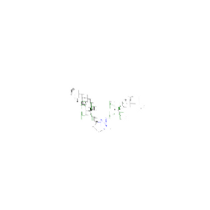 C.C.C.C.C.CC.CC.Cn1cccc1.F[B-](F)(F)F.F[B-](F)(F)F